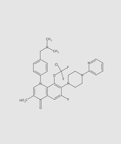 CN(C)Cc1ccc(-n2cc(C(=O)O)c(=O)c3cc(F)c(N4CCN(c5ccccn5)CC4)c(OC(F)(F)Cl)c32)cc1